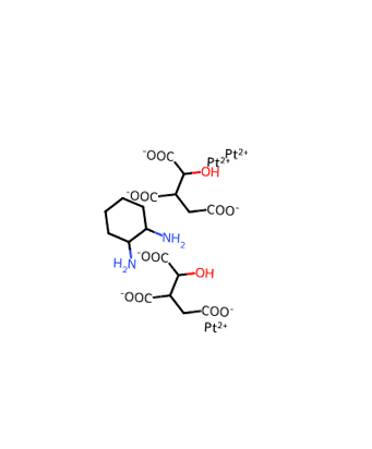 NC1CCCCC1N.O=C([O-])CC(C(=O)[O-])C(O)C(=O)[O-].O=C([O-])CC(C(=O)[O-])C(O)C(=O)[O-].[Pt+2].[Pt+2].[Pt+2]